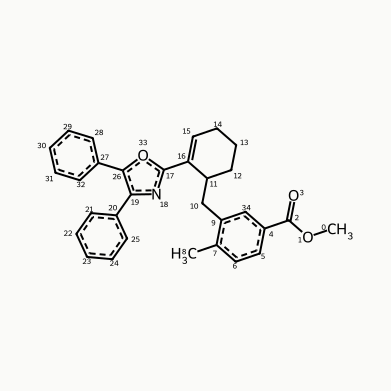 COC(=O)c1ccc(C)c(CC2CCCC=C2c2nc(-c3ccccc3)c(-c3ccccc3)o2)c1